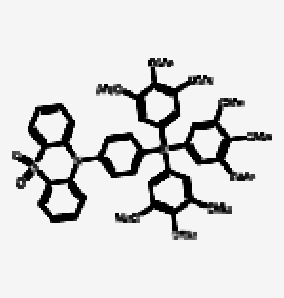 COc1cc([Si](c2ccc(N3c4ccccc4S(=O)(=O)c4ccccc43)cc2)(c2cc(OC)c(OC)c(OC)c2)c2cc(OC)c(OC)c(OC)c2)cc(OC)c1OC